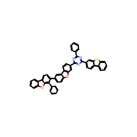 c1ccc(-c2nc(-c3ccc4c(c3)oc3ccc(-c5ccc6c(oc7ccccc76)c5-c5ccccc5)cc34)nc(-c3ccc4c(c3)sc3ccccc34)n2)cc1